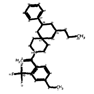 C=C(c1ccc(CC)cc1C(F)(F)F)N1CCC2(CC1)CC(CCC)CC(c1ccccc1)C2